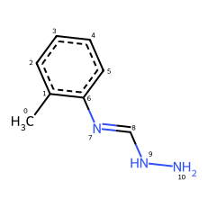 Cc1ccccc1N=CNN